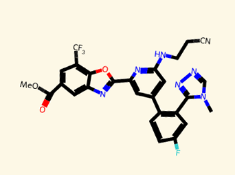 COC(=O)c1cc(C(F)(F)F)c2oc(-c3cc(-c4ccc(F)cc4-c4nncn4C)cc(NCCC#N)n3)nc2c1